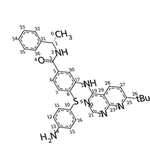 C[C@H](NC(=O)c1ccc(Sc2ccc(N)cc2)c(Nc2ncnc3nc(C(C)(C)C)ccc23)c1)c1ccccc1